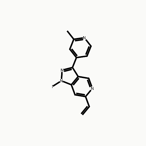 C=Cc1cc2c(cn1)c(-c1ccnc(C)c1)nn2I